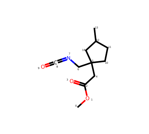 COC(=O)CC1(CN=C=O)CCC(C)C1